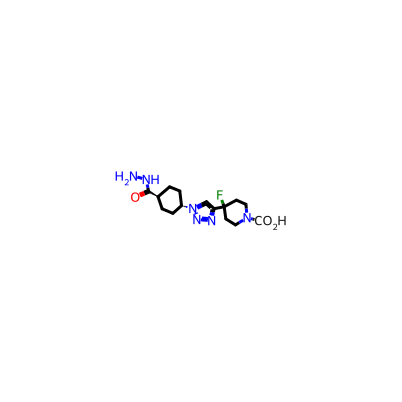 NNC(=O)[C@H]1CC[C@H](n2cc(C3(F)CCN(C(=O)O)CC3)nn2)CC1